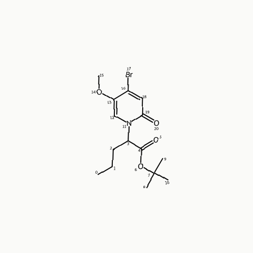 CCCC(C(=O)OC(C)(C)C)n1cc(OC)c(Br)cc1=O